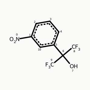 O=[N+]([O-])c1cccc(C(O)(C(F)(F)F)C(F)(F)F)c1